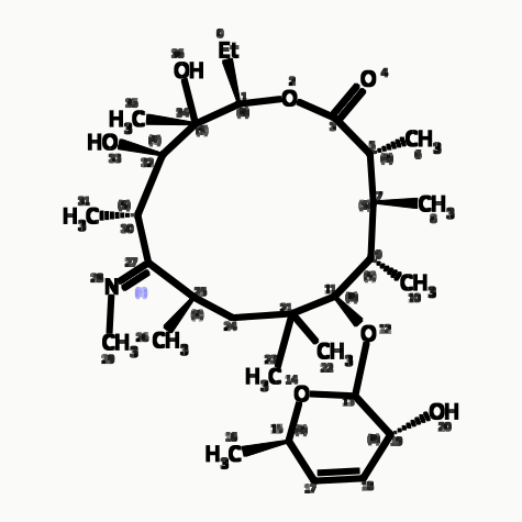 CC[C@H]1OC(=O)[C@H](C)[C@@H](C)[C@H](C)[C@@H](OC2O[C@H](C)C=C[C@H]2O)C(C)(C)C[C@@H](C)/C(=N\C)[C@H](C)[C@@H](O)[C@]1(C)O